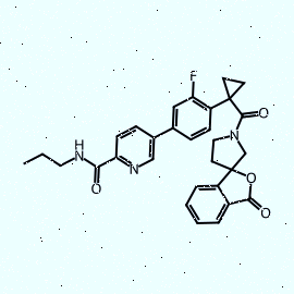 CCCNC(=O)c1ccc(-c2ccc(C3(C(=O)N4CCC5(C4)OC(=O)c4ccccc45)CC3)c(F)c2)cn1